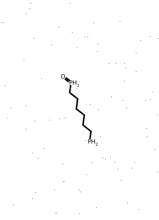 O=[PH2]CCCCCCP